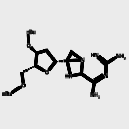 CCCCOC[C@H]1O[C@@H](C23CN2C(/C(N)=N\C(=N)N)N3)C[C@@H]1OCCCC